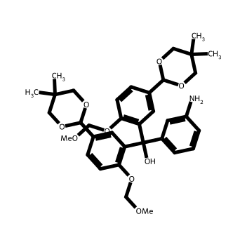 COCOc1ccc(C2OCC(C)(C)CO2)cc1C(O)(c1cccc(N)c1)c1cc(C2OCC(C)(C)CO2)ccc1OCOC